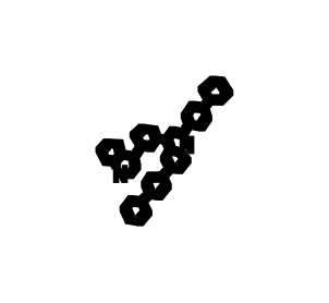 c1ccc(-c2ccc(-c3ccc4nc(-c5ccc(-c6ccccc6)cc5)cc(-c5cccc(-c6ccnc7ccccc67)c5)c4c3)cc2)cc1